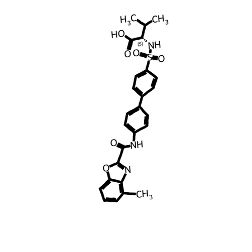 Cc1cccc2oc(C(=O)Nc3ccc(-c4ccc(S(=O)(=O)N[C@H](C(=O)O)C(C)C)cc4)cc3)nc12